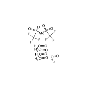 C=O.C=O.C=O.C=O.C=O.O=[S](=O)([Mo][S](=O)(=O)C(F)(F)F)C(F)(F)F